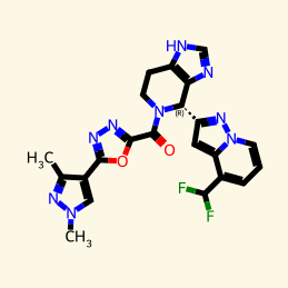 Cc1nn(C)cc1-c1nnc(C(=O)N2CCc3[nH]cnc3[C@@H]2c2cc3c(C(F)F)cccn3n2)o1